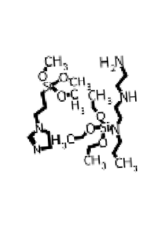 CCCN(CCNCCN)[Si](OCC)(OCC)OCC.CO[Si](CCCN1C=NCC1)(OC)OC